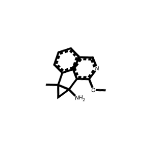 COc1ncccc1C1(N)CC1(C)c1ccccc1